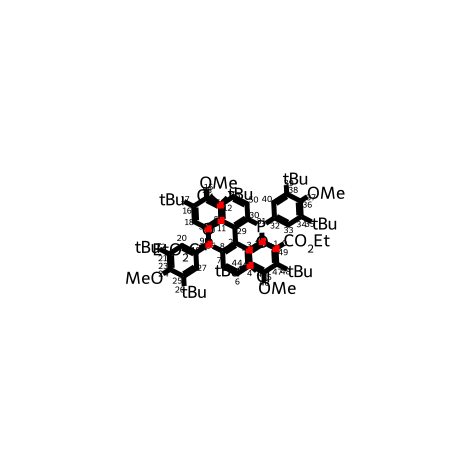 CCOC(=O)COc1c(Cl)ccc(P(c2cc(C(C)(C)C)c(OC)c(C(C)(C)C)c2)c2cc(C(C)(C)C)c(OC)c(C(C)(C)C)c2)c1-c1c(P(c2cc(C(C)(C)C)c(OC)c(C(C)(C)C)c2)c2cc(C(C)(C)C)c(OC)c(C(C)(C)C)c2)ccc(Cl)c1OCC(=O)OCC